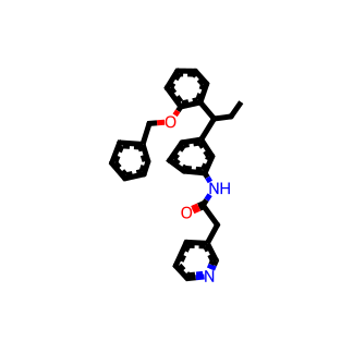 CCC(c1cccc(NC(=O)Cc2cccnc2)c1)c1ccccc1OCc1ccccc1